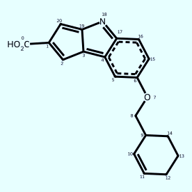 O=C(O)C1=CC2=c3cc(OCC4C=CCCC4)ccc3=NC2=C1